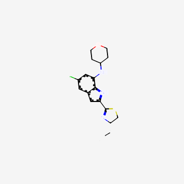 O=C(O)C[C@H]1CSC(c2cc3cc(Cl)cc(NC4CCOCC4)c3[nH]2)=N1